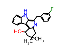 CC1(C)Cc2nc(Cc3cccc(F)c3)c3[nH]c4ccccc4c3c2C(O)C1